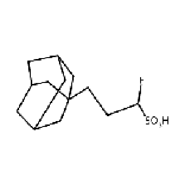 O=S(=O)(O)C(F)CCC12CC3CC(CC(C3)C1)C2